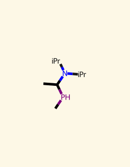 CPC(C)N(C(C)C)C(C)C